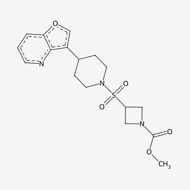 COC(=O)N1CC(S(=O)(=O)N2CCC(c3coc4cccnc34)CC2)C1